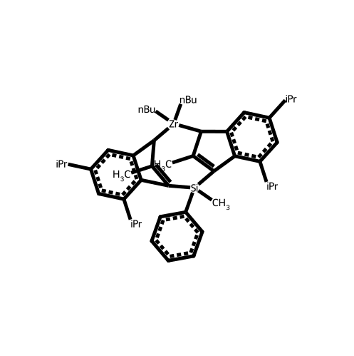 CCC[CH2][Zr]1([CH2]CCC)[CH]2C(C)=C(c3c(C(C)C)cc(C(C)C)cc32)[Si](C)(c2ccccc2)C2=C(C)[CH]1c1cc(C(C)C)cc(C(C)C)c12